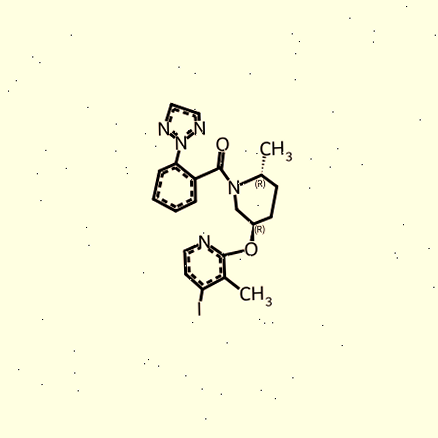 Cc1c(I)ccnc1O[C@@H]1CC[C@@H](C)N(C(=O)c2ccccc2-n2nccn2)C1